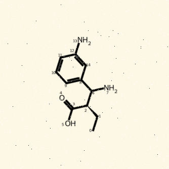 CC[C@@H](C(=O)O)C(N)c1cccc(N)c1